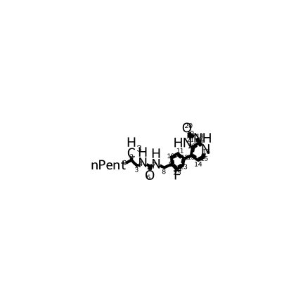 CCCCCC(C)CNC(=O)NCc1ccc(-c2ccnc3[nH]c(=O)[nH]c23)cc1F